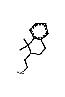 COCCN1CCc2c[c]ccc2C1(C)C